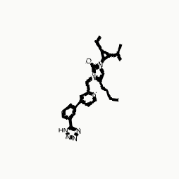 CCCCc1cn(C2C(CC)C2C(C)C)c(=O)n1Cc1cc(-c2cccc(-c3nnn[nH]3)c2)ccn1